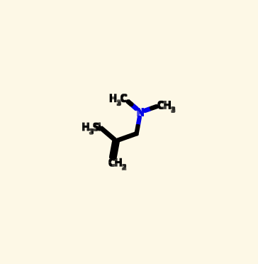 C=C([SiH3])CN(C)C